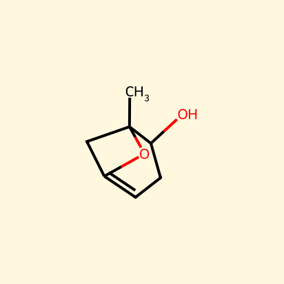 CC12CC(=CCC1O)O2